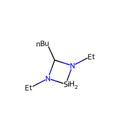 CCCCC1N(CC)[SiH2]N1CC